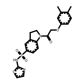 Cc1ccc(OCC(=O)N2CCc3cc(S(=O)(=O)Nc4nccs4)ccc32)cc1C